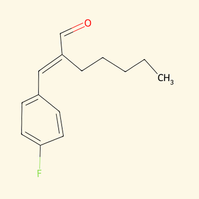 CCCCC/C(C=O)=C\c1ccc(F)cc1